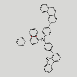 c1ccc(-c2ccc(N(c3ccc(-c4cccc5c4sc4ccccc45)cc3)c3ccc(-c4ccc5ccc6ccccc6c5c4)cc3-c3ccccc3)cc2)cc1